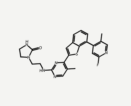 Cc1cnc(F)cc1-c1cccc2cc(-c3nc(NCCN4CCNC4=O)ncc3C)sc12